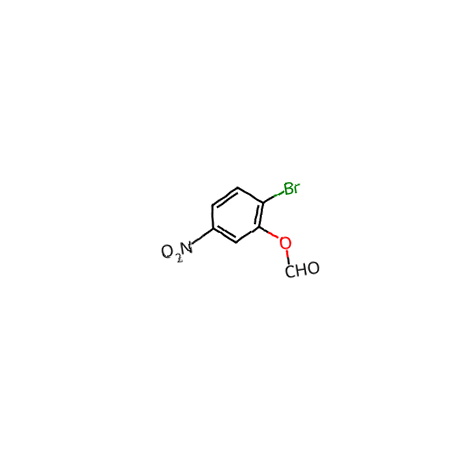 O=COc1cc([N+](=O)[O-])ccc1Br